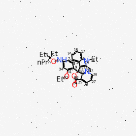 CCCC(CC)(CC)ONc1ccc(C2(c3c(C)n(CC)c4ccccc34)OC(=O)c3cccnc32)c(OCC)c1